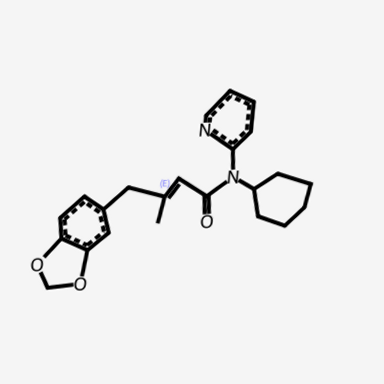 C/C(=C\C(=O)N(c1ccccn1)C1CCCCC1)Cc1ccc2c(c1)OCO2